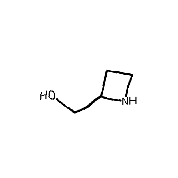 OCC1CCN1